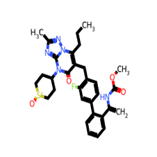 C=C(NC(=O)OC)c1ccccc1-c1ccc(Cc2c(CCC)n3nc(C)nc3n(C3CC[S+]([O-])CC3)c2=O)c(F)c1